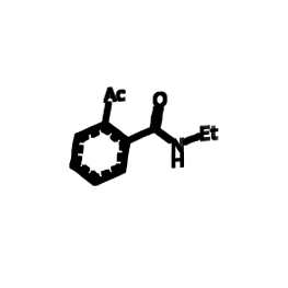 CCNC(=O)c1ccccc1C(C)=O